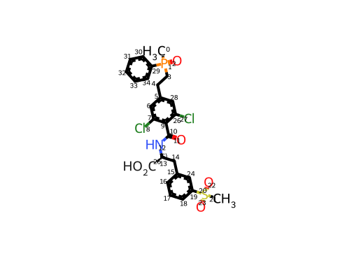 CP(=O)(CCc1cc(Cl)c(C(=O)N[C@@H](Cc2cccc(S(C)(=O)=O)c2)C(=O)O)c(Cl)c1)c1ccccc1